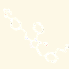 COCc1cccc(C=C2SC(=NCc3ccc(OC)cc3)N(c3ccccc3)C2=O)c1